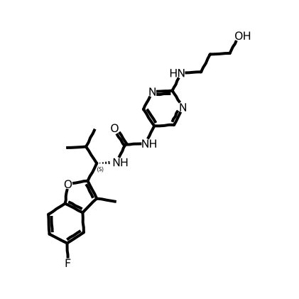 Cc1c([C@@H](NC(=O)Nc2cnc(NCCCO)nc2)C(C)C)oc2ccc(F)cc12